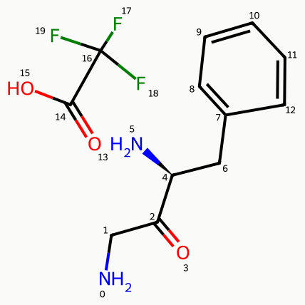 NCC(=O)[C@@H](N)Cc1ccccc1.O=C(O)C(F)(F)F